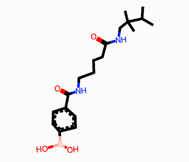 CC(C)C(C)(C)CNC(=O)CCCCNC(=O)c1ccc(B(O)O)cc1